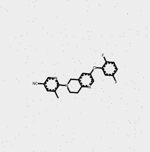 Cc1cc(C#N)cnc1N1CCc2ncc(Oc3cc(F)ccc3F)cc2C1